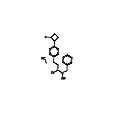 CC#N.CCCN(Cc1ccccc1)C(CC)CCc1ccc(C2CCC2F)cc1